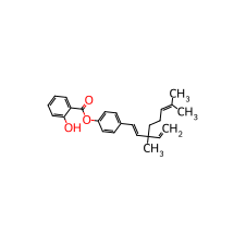 C=CC(C)(/C=C/c1ccc(OC(=O)c2ccccc2O)cc1)CCC=C(C)C